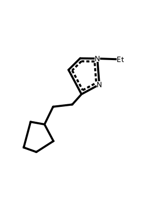 CCn1ccc(CCC2CCCC2)n1